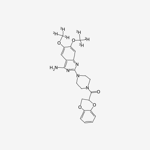 [2H]C([2H])([2H])Oc1cc2nc(N3CCN(C(=O)C4COc5ccccc5O4)CC3)nc(N)c2cc1OC([2H])([2H])[2H]